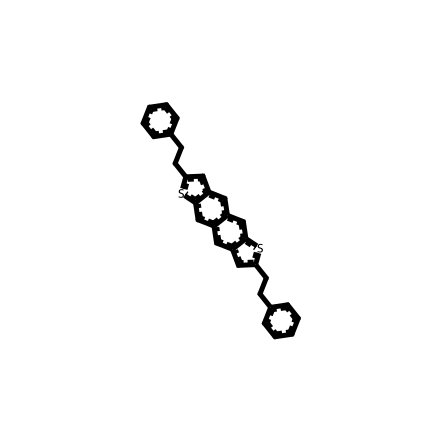 c1ccc(CCc2cc3cc4cc5sc(CCc6ccccc6)cc5cc4cc3s2)cc1